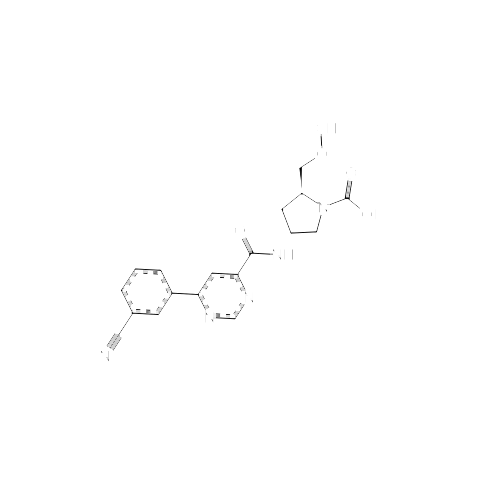 COC[C@@H]1C[C@@H](NC(=O)c2cc(-c3cccc(C#N)c3)ncn2)CN1C(=O)O